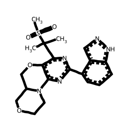 CC(C)(c1nc(-c2cccc3[nH]ncc23)nc2c1OCC1COCCN21)S(C)(=O)=O